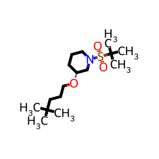 CC(C)(C)CCCO[C@@H]1CCCN(S(=O)(=O)C(C)(C)C)C1